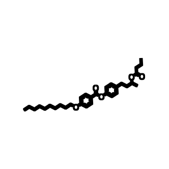 CCCCCCCCCCOc1ccc(C(=O)Oc2ccc(CCC(C)OC(=O)CCC)cc2)cc1